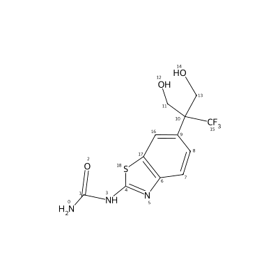 NC(=O)Nc1nc2ccc(C(CO)(CO)C(F)(F)F)cc2s1